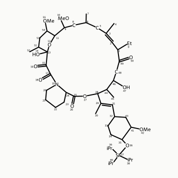 CCC1/C=C(\C)CC(C)CC(OC)C2OC(O)(C(=O)C(=O)N3CCCCC3C(=O)OC(C(C)=CC3CCC(O[Si](C(C)C)(C(C)C)C(C)C)C(OC)C3)C(C)C(O)CC1=O)C(C)CC2OC